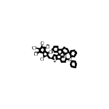 O=C1C(=Cc2cc3c(s2)-c2ccc(N(c4ccccc4)c4ccccc4)nc2C32c3ccccc3-c3ccccc32)C(=O)c2c(Cl)c(Cl)c(Cl)c(Cl)c21